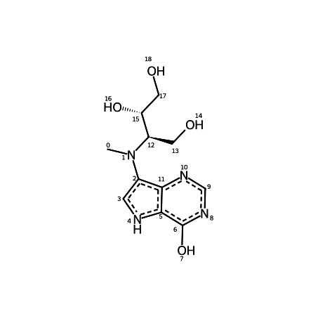 CN(c1c[nH]c2c(O)ncnc12)[C@H](CO)[C@H](O)CO